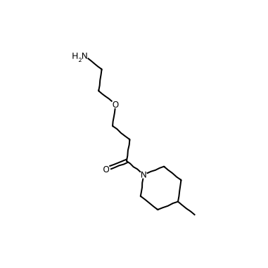 CC1CCN(C(=O)CCOCCN)CC1